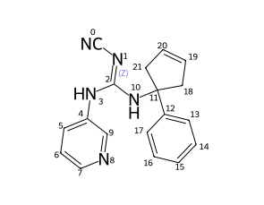 N#C/N=C(\Nc1cccnc1)NC1(c2ccccc2)CC=CC1